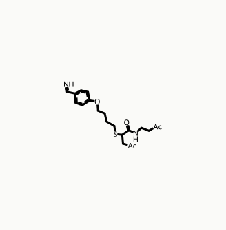 CC(=O)CCNC(=O)C(CC(C)=O)SCCCCOc1ccc(C=N)cc1